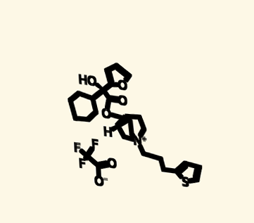 O=C(O[C@H]1C[N+]2(CCCc3cccs3)CCC1CC2)[C@@](O)(c1ccco1)C1CCCCC1.O=C([O-])C(F)(F)F